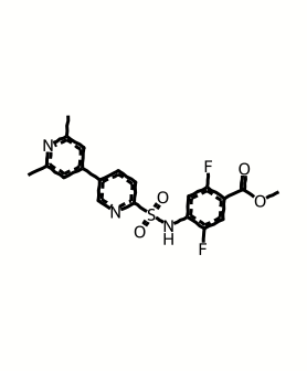 COC(=O)c1cc(F)c(NS(=O)(=O)c2ccc(-c3cc(C)nc(C)c3)cn2)cc1F